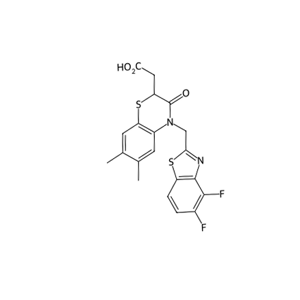 Cc1cc2c(cc1C)N(Cc1nc3c(F)c(F)ccc3s1)C(=O)C(CC(=O)O)S2